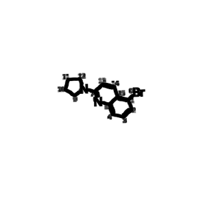 Brc1cccc2nc(N3CCCC3)ccc12